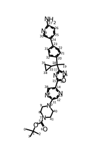 CC(C)(C)OC(=O)N1CCN(c2cnc(-c3nc(C(C)(c4ccc(-c5ccc(N)nc5)cc4)C4CC4)no3)cn2)CC1